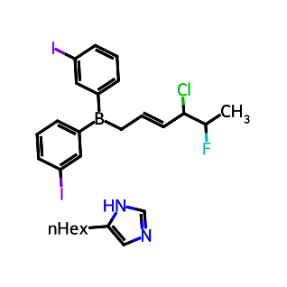 CC(F)C(Cl)C=CCB(c1cccc(I)c1)c1cccc(I)c1.CCCCCCc1cnc[nH]1